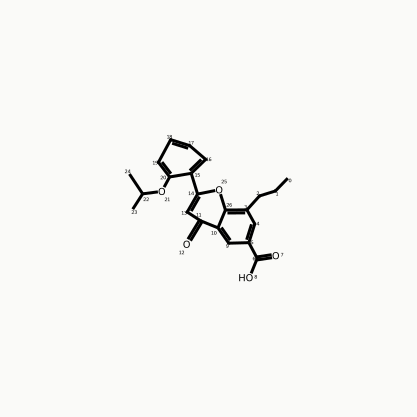 CCCc1cc(C(=O)O)cc2c(=O)cc(-c3ccccc3OC(C)C)oc12